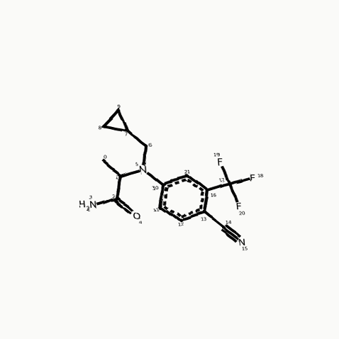 CC(C(N)=O)N(CC1CC1)c1ccc(C#N)c(C(F)(F)F)c1